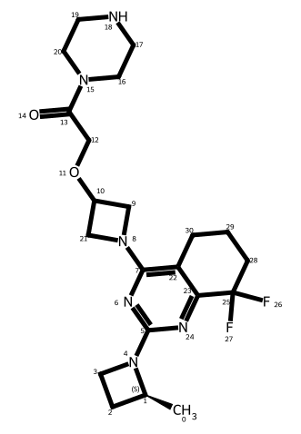 C[C@H]1CCN1c1nc(N2CC(OCC(=O)N3CCNCC3)C2)c2c(n1)C(F)(F)CCC2